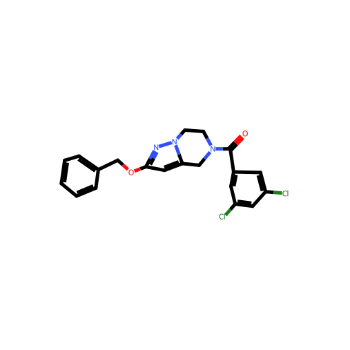 O=C(c1cc(Cl)cc(Cl)c1)N1CCn2nc(OCc3ccccc3)cc2C1